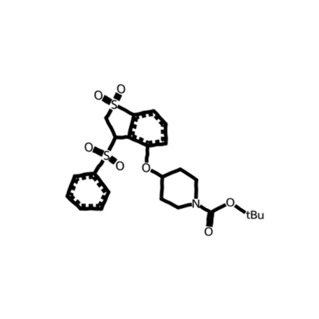 CC(C)(C)OC(=O)N1CCC(Oc2cccc3c2C(S(=O)(=O)c2ccccc2)CS3(=O)=O)CC1